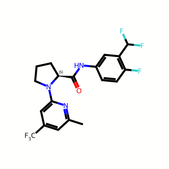 Cc1cc(C(F)(F)F)cc(N2CCC[C@H]2C(=O)Nc2ccc(F)c(C(F)F)c2)n1